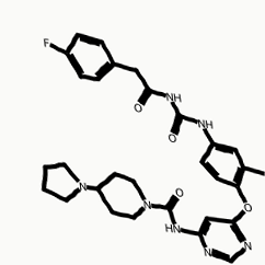 O=C(Cc1ccc(F)cc1)NC(=O)Nc1ccc(Oc2cc(NC(=O)N3CCC(N4CCCC4)CC3)ncn2)c(F)c1